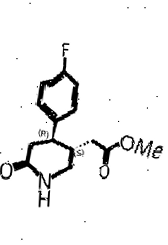 COC(=O)C[C@@H]1CNC(=O)C[C@H]1c1ccc(F)cc1